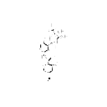 Cc1cc(C#N)cnc1C(=O)Nc1cc([C@@]2(C)CO[C@@](C)(C(F)(F)F)C(N)=N2)c(F)cn1